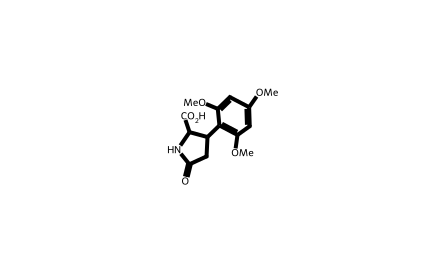 COc1cc(OC)c(C2CC(=O)NC2C(=O)O)c(OC)c1